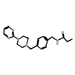 CCC(=O)NCc1ccc(CN2CCN(c3ncccn3)CC2)cc1